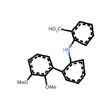 COc1cccc(-c2ccccc2Nc2ccccc2C(=O)O)c1OC